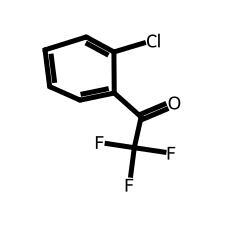 O=C(c1ccccc1Cl)C(F)(F)F